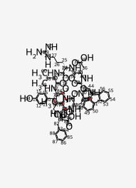 CC[C@H](C)[C@H](NC(=O)[C@H](Cc1ccc(O)cc1)NC(=O)[C@@H](NC(=O)[C@H](CCCNC(=N)N)NC(=O)[C@H](CC(=O)O)NC(=O)OCC1c2ccccc2-c2ccccc21)C(C)C)C(=O)N[C@@H](Cc1c[nH]cn1)C(=O)N1CCC[C@H]1C(=O)N[C@@H](Cc1ccccc1)C(=O)O